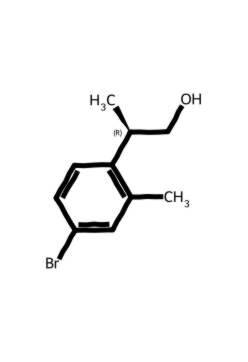 Cc1cc(Br)ccc1[C@@H](C)CO